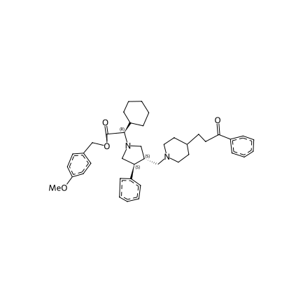 COc1ccc(COC(=O)[C@@H](C2CCCCC2)N2C[C@H](CN3CCC(CCC(=O)c4ccccc4)CC3)[C@@H](c3ccccc3)C2)cc1